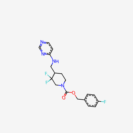 O=C(OCc1ccc(F)cc1)N1CCC(CNc2ccncn2)C(F)(F)C1